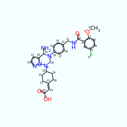 COc1ccc(F)cc1C(=O)NCc1ccc(N2CN(C3CCC(=CC(=O)O)CC3)n3nccc3C2N)cc1